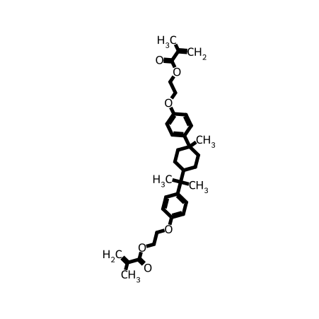 C=C(C)C(=O)OCCOc1ccc(C2(C)CCC(C(C)(C)c3ccc(OCCOC(=O)C(=C)C)cc3)CC2)cc1